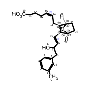 Cc1cccc(CC(O)/C=C/[C@H]2[C@@H](C/C=C\CCCC(=O)O)[C@H]3CC[C@@H]2O3)c1